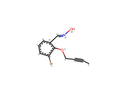 CC#CCOc1c(Br)cccc1C=NO